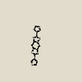 c1cc(-c2nc3cc4sc(-c5ccsc5)nc4cc3s2)cs1